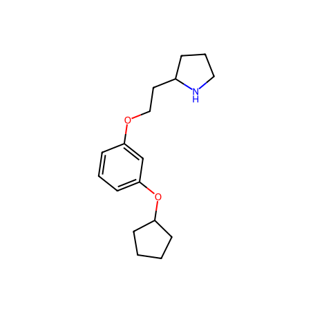 c1cc(OCCC2CCCN2)cc(OC2CCCC2)c1